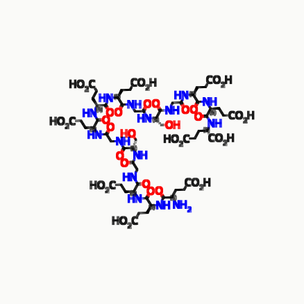 N[C@@H](CCC(=O)O)C(=O)N[C@@H](CCC(=O)O)C(=O)N[C@@H](CCC(=O)O)C(=O)NCC(=O)N[C@@H](CO)C(=O)NCC(=O)N[C@@H](CCC(=O)O)C(=O)N[C@@H](CCC(=O)O)C(=O)N[C@@H](CCC(=O)O)C(=O)NCC(=O)N[C@@H](CO)C(=O)NCC(=O)N[C@@H](CCC(=O)O)C(=O)N[C@@H](CCC(=O)O)C(=O)N[C@@H](CCC(=O)O)C(=O)O